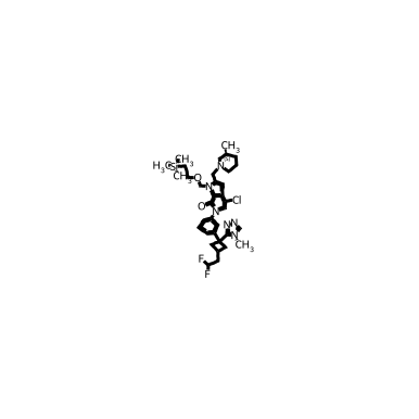 C[C@H]1CCCN(Cc2cc3c(Cl)cn(-c4cccc(C5(c6nncn6C)CC(CC(F)F)C5)c4)c(=O)c3n2COCC[Si](C)(C)C)C1